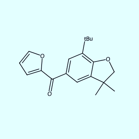 CC(C)(C)c1cc(C(=O)c2ccco2)cc2c1OCC2(C)C